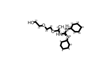 CC(N/C(=N\C1CCCCC1)NC1CCCCC1)OCCOCCO